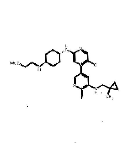 COCCN[C@H]1CC[C@H](Nc2cc(-c3cnc(F)c(NCC4(C)CC4)c3)c(Cl)cn2)CC1